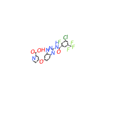 O=C(O)c1cc(Oc2ccc3nc(NC(=O)c4cc(C(F)(F)F)cc(Cl)c4F)nnc3c2)ccn1